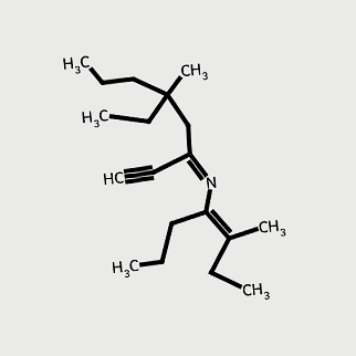 C#C/C(CC(C)(CC)CCC)=N\C(CCC)=C(/C)CC